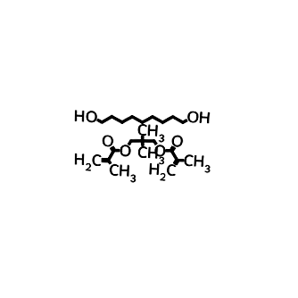 C=C(C)C(=O)OCC(C)(C)COC(=O)C(=C)C.OCCCCCCCCCO